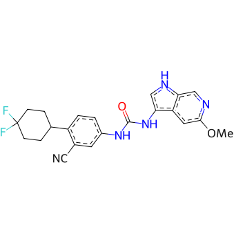 COc1cc2c(NC(=O)Nc3ccc(C4CCC(F)(F)CC4)c(C#N)c3)c[nH]c2cn1